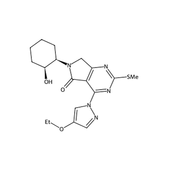 CCOc1cnn(-c2nc(SC)nc3c2C(=O)N([C@@H]2CCCC[C@@H]2O)C3)c1